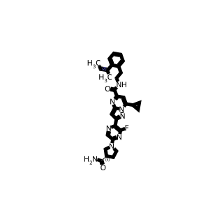 C/C=C(/C)c1ccccc1CCNC(=O)c1cc(C2CC2)n2nc(-c3ncc(N4CC[C@H](C(N)=O)C4)nc3F)cc2n1